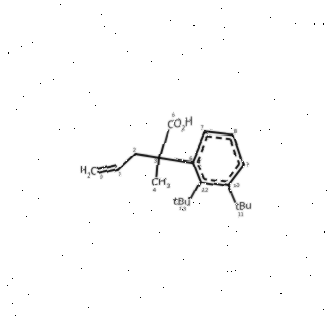 C=CCC(C)(C(=O)O)c1cccc(C(C)(C)C)c1C(C)(C)C